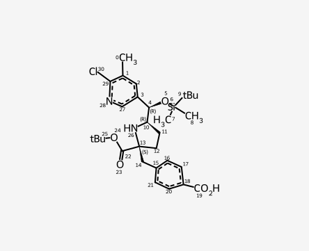 Cc1cc([C@@H](O[Si](C)(C)C(C)(C)C)[C@H]2CC[C@](Cc3ccc(C(=O)O)cc3)(C(=O)OC(C)(C)C)N2)cnc1Cl